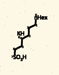 CCCCCCCCCCCCS(=O)(=O)O.[KH]